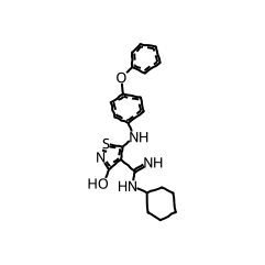 N=C(NC1CCCCC1)c1c(O)nsc1Nc1ccc(Oc2ccccc2)cc1